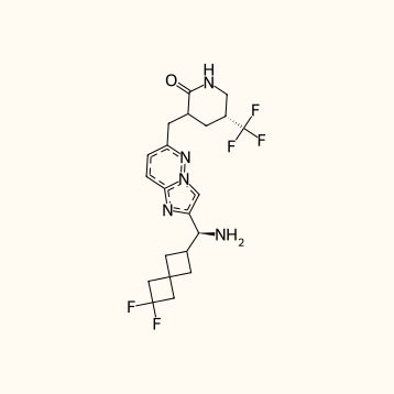 N[C@H](c1cn2nc(CC3C[C@@H](C(F)(F)F)CNC3=O)ccc2n1)C1CC2(C1)CC(F)(F)C2